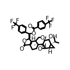 CC(C)[C@]12C[C@H]1[C@@H]1O[C@@]13[C@@]1(C)CCC4=C(/C(=C(\OC(=O)c5ccc(C(F)(F)F)cc5)c5ccc(C(F)(F)F)cc5)OC4=O)[C@@H]1CO[C@]3(C)[C@@H]2O